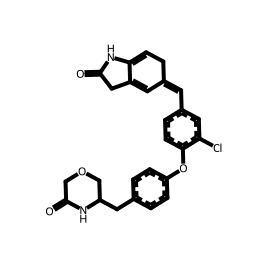 O=C1CC2=CC(=Cc3ccc(Oc4ccc(CC5COCC(=O)N5)cc4)c(Cl)c3)CC=C2N1